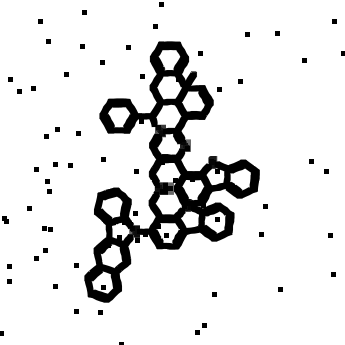 CC(c1ccccc1)C1Cc2ccccc2C2(C)C=CC=C(c3ncc(CNCc4c(-n5c6ccccc6c6cc7ccccc7cc65)ccc5c4oc4ccccc45)c(-c4cccc5c4sc4ccccc45)n3)C12